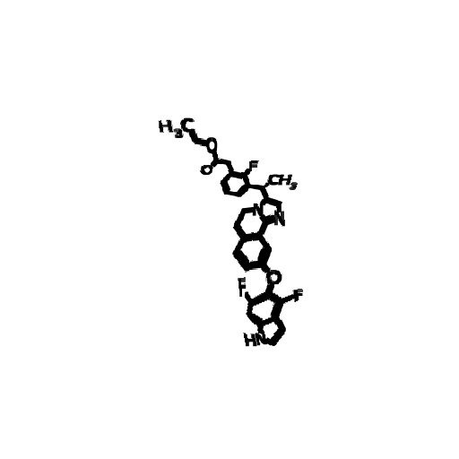 CCOC(=O)Cc1cccc([C@H](C)c2cnc3n2CCc2ccc(Oc4c(F)cc5[nH]ccc5c4F)cc2-3)c1F